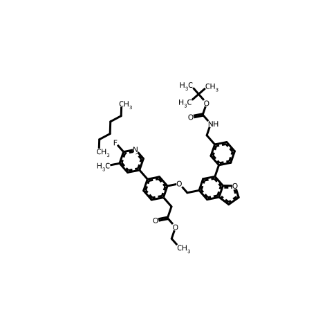 CCCCCC.CCOC(=O)Cc1ccc(-c2cnc(F)c(C)c2)cc1OCc1cc(-c2cccc(CNC(=O)OC(C)(C)C)c2)c2occc2c1